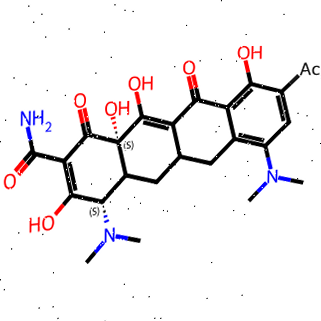 CC(=O)c1cc(N(C)C)c2c(c1O)C(=O)C1=C(O)[C@]3(O)C(=O)C(C(N)=O)=C(O)[C@@H](N(C)C)C3CC1C2